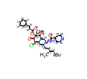 CC[C@H](C)/C=C(C)/C=C/C1=CC2=C(Cl)C(=O)[C@](C)(OC(=O)C=Cc3ccccc3)C(=O)C2=CN1NC(=O)c1ccncc1